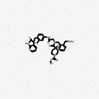 CCC1(C(=O)N(CC(=O)Nc2ccc3c(c2)C[C@@]2(C3)C(=O)Nc3ncccc32)Cc2ccccc2CNC)CCN(C(=O)OC(C)C)CC1